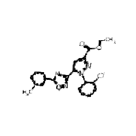 CCOC(=O)c1cc(-c2noc(-c3cccc(C)c3)n2)n(-c2ccccc2Cl)n1